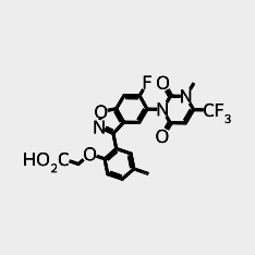 Cc1ccc(OCC(=O)O)c(-c2noc3cc(F)c(-n4c(=O)cc(C(F)(F)F)n(C)c4=O)cc23)c1